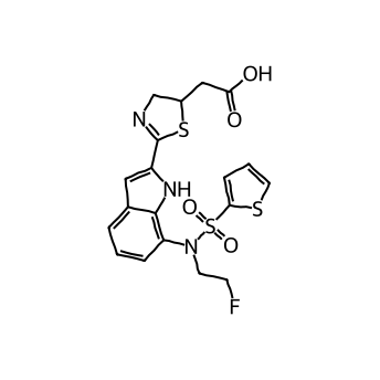 O=C(O)CC1CN=C(c2cc3cccc(N(CCF)S(=O)(=O)c4cccs4)c3[nH]2)S1